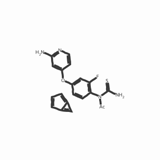 CC(=O)N(C(N)=S)c1ccc(Oc2ccnc(N)c2)cc1F.c1cc2cc-2c1